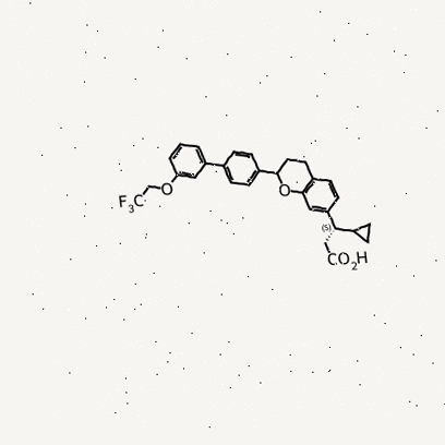 O=C(O)C[C@H](c1ccc2c(c1)OC(c1ccc(-c3cccc(OCC(F)(F)F)c3)cc1)CC2)C1CC1